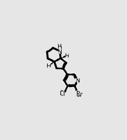 Clc1cc(C2=C[C@H]3NCCC[C@H]3C2)cnc1Br